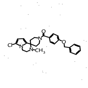 CN1CCn2c(Cl)ccc2C12CCN(C(=O)c1ccc(OCc3ccccc3)cc1)CC2